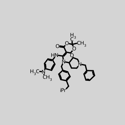 CC(C)Cc1ccc(CN(C(Nc2ccc(N(C)C)cc2)=C2C(=O)OC(C)(C)OC2=O)C2CCN(Cc3ccccc3)CC2)cc1